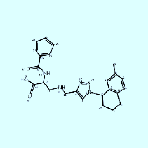 Cc1ccc2c(c1)C(n1cc(CNCC(NC(=O)c3ccccc3)C(=O)O)nn1)CCC2